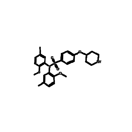 COc1ccc(C)cc1N(c1cc(C)ccc1OC)S(=O)(=O)c1ccc(OC2CCNCC2)cc1